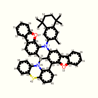 Cc1cc2c(cc1N1c3cc4c(oc5ccccc54)c4c3B(c3ccc5c(oc6ccccc65)c31)N1c3ccccc3Sc3cccc-4c31)C(C)(C)CCC2(C)C